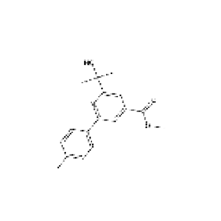 COC(=O)c1cc(-c2ccc(C)cc2)nc(C(C)(C)O)c1